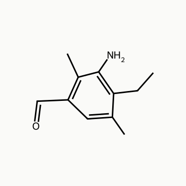 CCc1c(C)cc(C=O)c(C)c1N